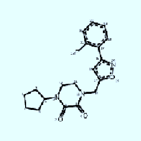 O=C1C(=O)N(C2CCCC2)CCN1Cc1cc(-c2ccccc2F)no1